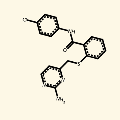 Nc1nccc(CSc2ccccc2C(=O)Nc2ccc(Cl)cc2)n1